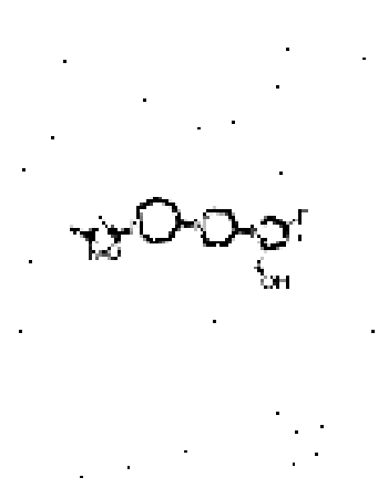 Cc1noc(N2CCCC(N3CCC(N4C[C@H](F)C[C@@H]4CO)CC3)CC2)n1